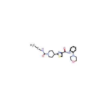 CCCCNC(=O)N1CCC(c2nc(C(=O)Nc3ccccc3N3CCOCC3)cs2)CC1